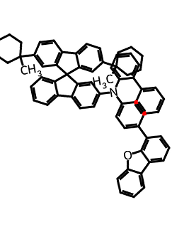 CC1(c2ccc3c(c2)C2(c4ccccc4-c4ccc(N(c5ccc(-c6cccc7c6oc6ccccc67)cc5)c5ccccc5-c5ccccc5)cc42)c2cc(C4(C)CCCCC4)ccc2-3)CCCCC1